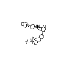 C=C(CC(C)(C)C)N1CCC(Cc2ccc(-c3ccnc4[nH]c(C5=CC=C(N6CCOCC6)CC5)cc34)cc2C#N)C1